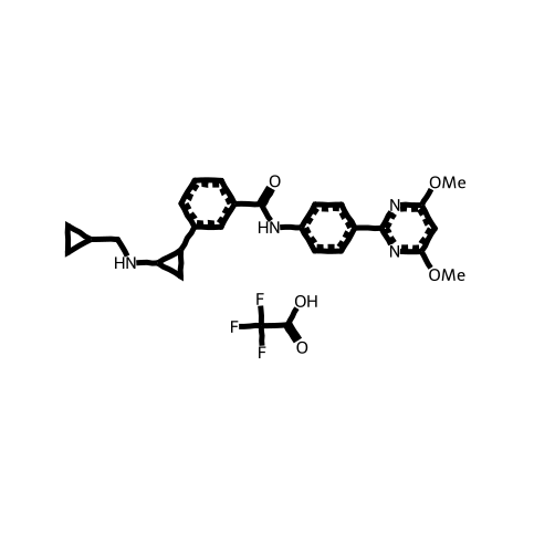 COc1cc(OC)nc(-c2ccc(NC(=O)c3cccc(C4CC4NCC4CC4)c3)cc2)n1.O=C(O)C(F)(F)F